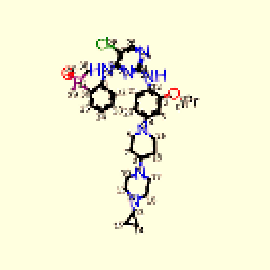 CC(C)Oc1cc(N2CCC(N3CCN(C4CC4)CC3)CC2)ccc1Nc1ncc(Cl)c(Nc2ccccc2P(C)(C)=O)n1